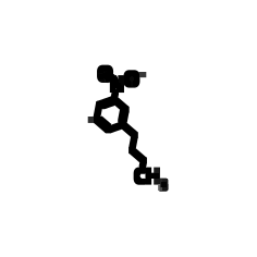 CCCCc1c[c]cc([N+](=O)[O-])c1